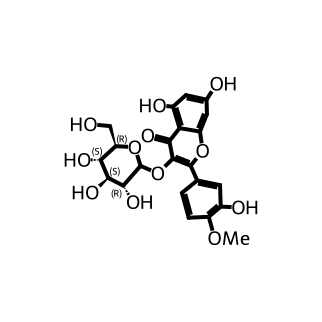 COc1ccc(-c2oc3cc(O)cc(O)c3c(=O)c2OC2O[C@H](CO)[C@@H](O)[C@H](O)[C@H]2O)cc1O